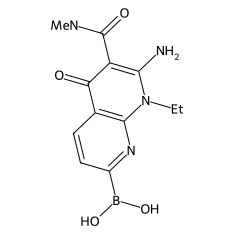 CCn1c(N)c(C(=O)NC)c(=O)c2ccc(B(O)O)nc21